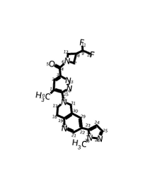 Cc1cc(C(=O)N2CC(C(F)F)C2)nnc1N1CCc2ncc(-c3ccnn3C)cc2C1